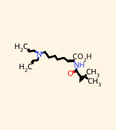 C=CCN(CC=C)CCCCCC=C(NC(=O)C1CC1(C)C)C(=O)O